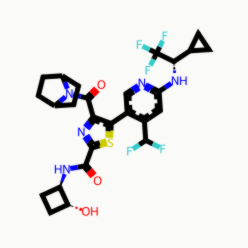 O=C(N[C@@H]1CC[C@H]1O)c1nc(C(=O)N2C3CCC2CC3)c(-c2cnc(N[C@@H](C3CC3)C(F)(F)F)cc2C(F)F)s1